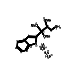 COC(C[SiH3])C(OC)(OC)c1cc2ccccc2s1.S.S.S.S